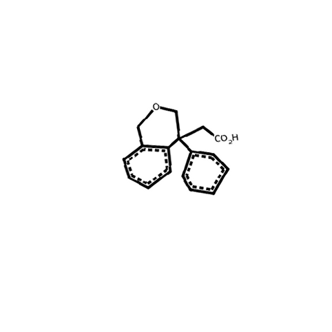 O=C(O)CC1(c2ccccc2)COCc2ccccc21